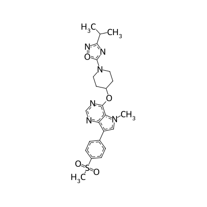 CC(C)c1noc(N2CCC(Oc3ncnc4c(-c5ccc(S(C)(=O)=O)cc5)cn(C)c34)CC2)n1